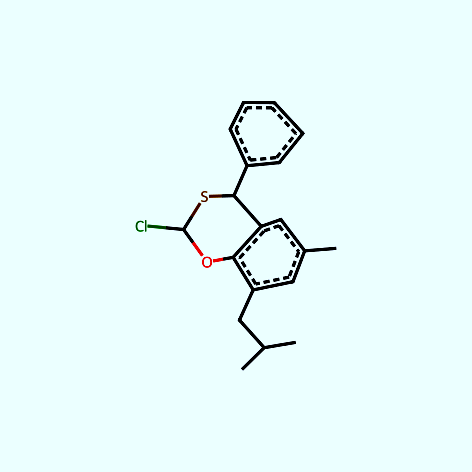 Cc1cc(CC(C)C)c2c(c1)C(c1ccccc1)SC(Cl)O2